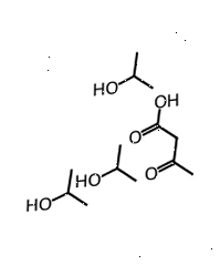 CC(=O)CC(=O)O.CC(C)O.CC(C)O.CC(C)O